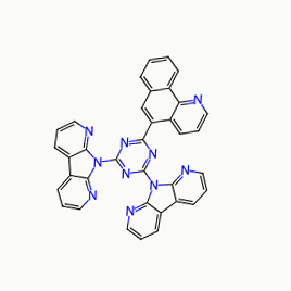 c1ccc2c(c1)cc(-c1nc(-n3c4ncccc4c4cccnc43)nc(-n3c4ncccc4c4cccnc43)n1)c1cccnc12